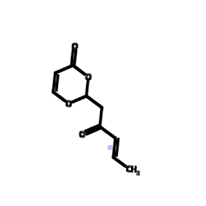 C/C=C/C(=O)CC1OC=CC(=O)O1